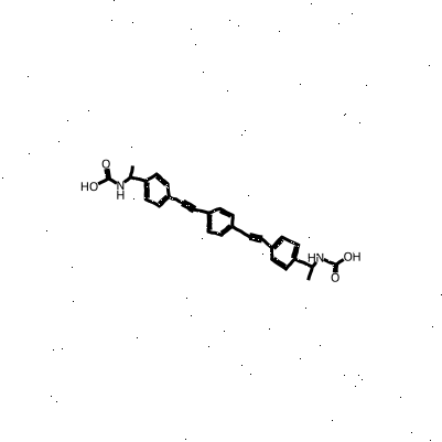 CC(NC(=O)O)c1ccc(C#Cc2ccc(C#Cc3ccc(C(C)NC(=O)O)cc3)cc2)cc1